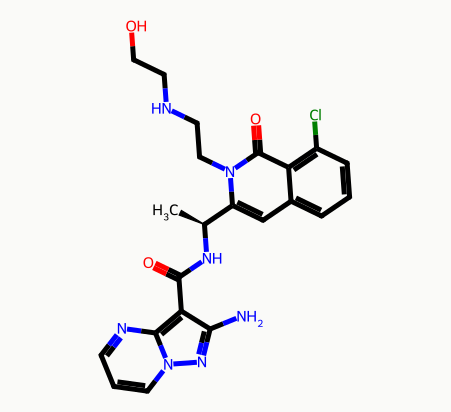 C[C@H](NC(=O)c1c(N)nn2cccnc12)c1cc2cccc(Cl)c2c(=O)n1CCNCCO